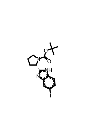 CC(C)(C)OC(=O)N1CCC[C@H]1c1nc2cc(I)ccc2[nH]1